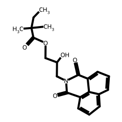 CCC(C)(C)C(=O)OCC(O)CN1C(=O)c2cccc3cccc(c23)C1=O